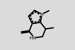 C=C1NCC(C)c2c1ccn2C